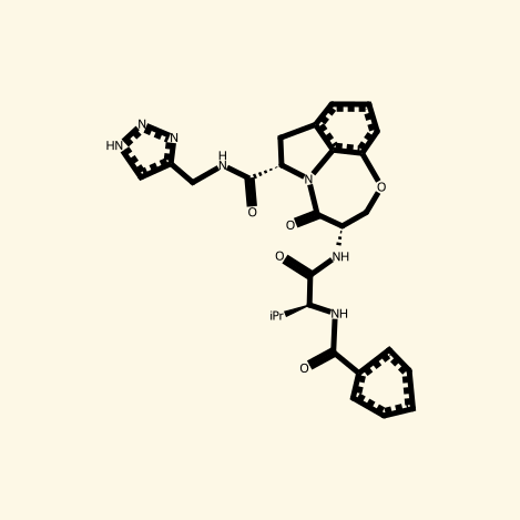 CC(C)[C@H](NC(=O)c1ccccc1)C(=O)N[C@H]1COc2cccc3c2N(C1=O)[C@H](C(=O)NCc1c[nH]nn1)C3